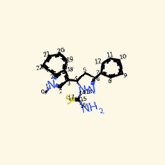 Cn1cc(C2CC(c3ccccc3)=NN2C(N)=S)c2ccccc21